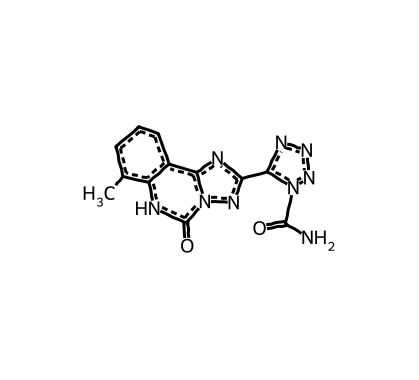 Cc1cccc2c1[nH]c(=O)n1nc(-c3nnnn3C(N)=O)nc21